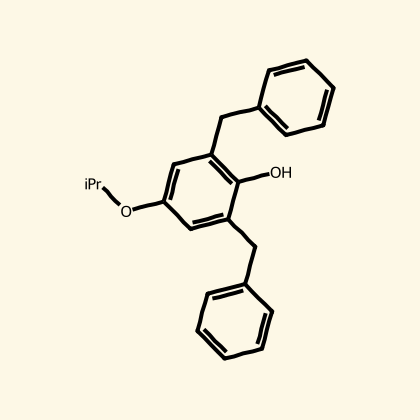 CC(C)Oc1cc(Cc2ccccc2)c(O)c(Cc2ccccc2)c1